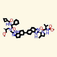 C=C1CCN(C(=O)[C@@H](NC(=O)OC)C(C)C)[C@@H]1c1nc2ccc3cc(-c4ccc5c(ccc6nc(CN(C[C@H](C)COC)C(=O)[C@H](NC(=O)C7CCC7)c7ccccc7)[nH]c65)c4)ccc3c2[nH]1